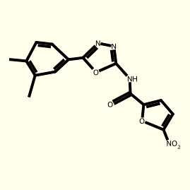 Cc1ccc(-c2nnc(NC(=O)c3ccc([N+](=O)[O-])o3)o2)cc1C